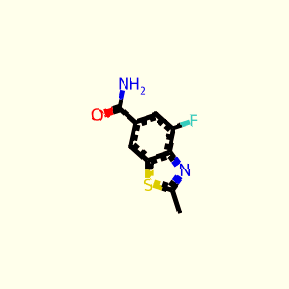 Cc1nc2c(F)cc(C(N)=O)cc2s1